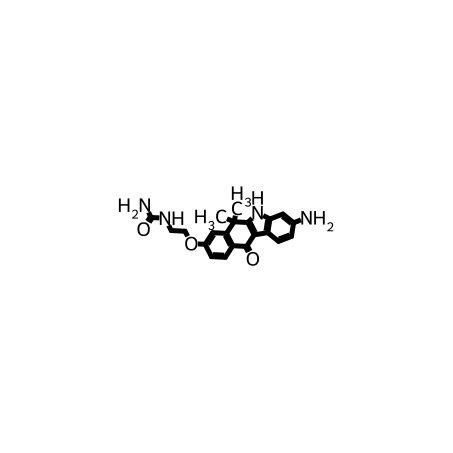 CC1(C)c2cc(OCCNC(N)=O)ccc2C(=O)c2c1[nH]c1cc(N)ccc21